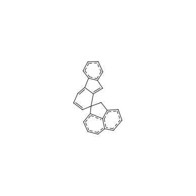 C1=CC2(Cc3cccc4cccc2c34)C2=Cc3ccccc3C2=C1